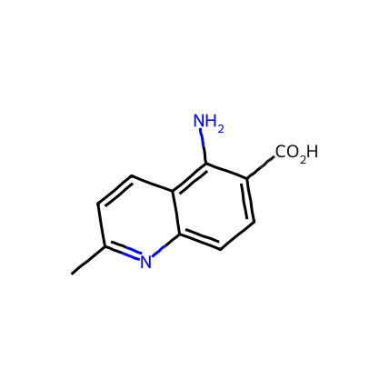 Cc1ccc2c(N)c(C(=O)O)ccc2n1